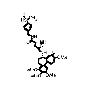 COc1cc2c(c(OC)c1OC)CC[C@H](N/C=C(/CCC(=O)NCc1ccc([SiH](C)C)cc1)N=N)c1cc(=O)c(OC)ccc1-2